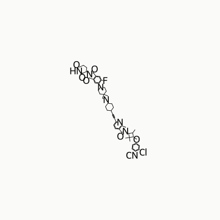 CC1[C@@H](Oc2ccc(C#N)c(Cl)c2)C(C)(C)[C@@H]1N1Cc2nc(C#CC3CCC(N4CC5(CCN(c6cc7c(cc6F)C(=O)N(C6CCC(=O)NC6=O)C7=O)CC5)C4)CC3)ccc2C1=O